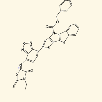 CCN1C(=O)/C(=N\c2ccc(-c3cc4c(s3)c3sc5ccccc5c3n4C(=O)OCc3ccccc3)c3nsnc23)SC1=S